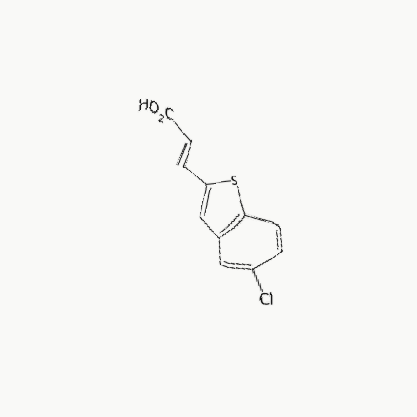 O=C(O)/C=C/c1cc2cc(Cl)ccc2s1